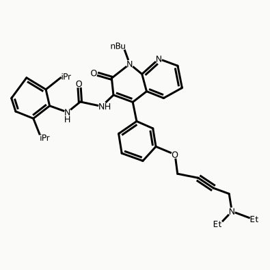 CCCCn1c(=O)c(NC(=O)Nc2c(C(C)C)cccc2C(C)C)c(-c2cccc(OCC#CCN(CC)CC)c2)c2cccnc21